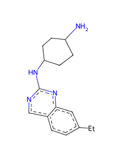 CCc1ccc2cnc(NC3CCC(N)CC3)nc2c1